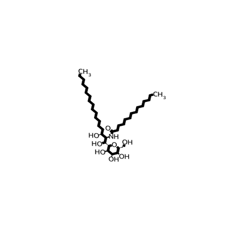 CCCCCCCCCCCCCCC[C@@H](O)[C@@H](NC(=O)CCCCCCCCCCCCC)C(O)[C@@H]1O[C@H](CO)[C@@H](O)[C@H](O)[C@H]1O